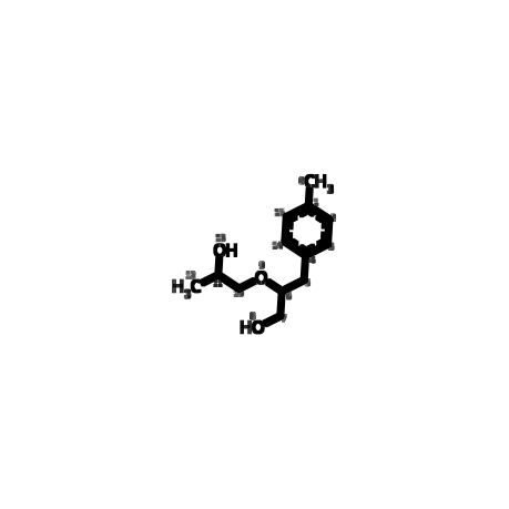 Cc1ccc(CC(CO)OCC(C)O)cc1